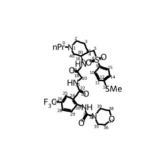 CCCN1CC[C@@H](CS(=O)(=O)c2ccc(SC)cc2)[C@@H](NC(=O)CNC(=O)c2cc(C(F)(F)F)ccc2NC(=O)N2CCOCC2)C1